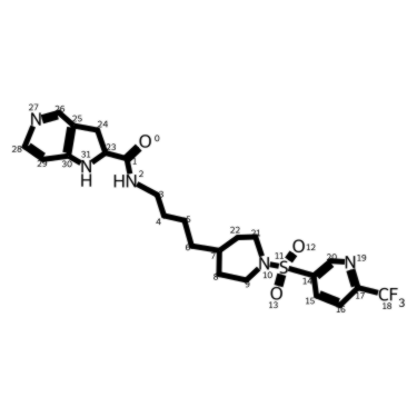 O=C(NCCCCC1CCN(S(=O)(=O)c2ccc(C(F)(F)F)nc2)CC1)C1Cc2cnccc2N1